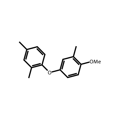 COc1ccc(Oc2ccc(C)cc2C)cc1C